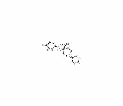 Cl.Fc1ccc([C@H]2COC3(CC[C@H](c4ccccc4)OC3)N2)cc1